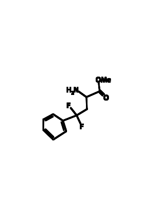 COC(=O)C(N)CC(F)(F)c1ccccc1